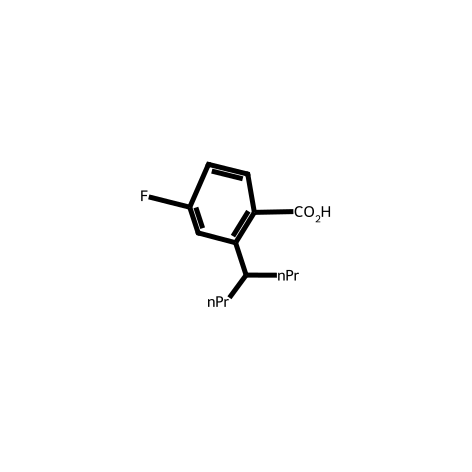 CCCC(CCC)c1cc(F)ccc1C(=O)O